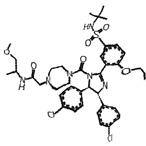 CCOc1ccc(S(=O)(=O)NC(C)(C)C)cc1C1=N[C@@H](c2ccc(Cl)cc2)[C@@H](c2ccc(Cl)cc2)N1C(=O)N1CCN(CC(=O)NC(C)COC)CC1